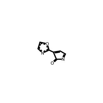 O=C1N=CC=C1c1ncco1